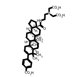 CC1(C)C(c2ccc(C(=O)O)cc2)=CC[C@]2(C)[C@H]3CC[C@@H]4[C@H]5CCC[C@]5(C(=O)NCCN(CC(=O)O)CC(=O)O)CC[C@@]4(C)[C@]3(C)CC[C@@H]12